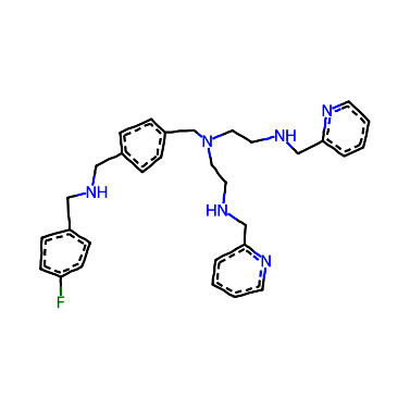 Fc1ccc(CNCc2ccc(CN(CCNCc3ccccn3)CCNCc3ccccn3)cc2)cc1